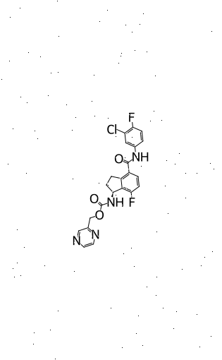 O=C(N[C@H]1CCc2c(C(=O)Nc3ccc(F)c(Cl)c3)ccc(F)c21)OCc1cnccn1